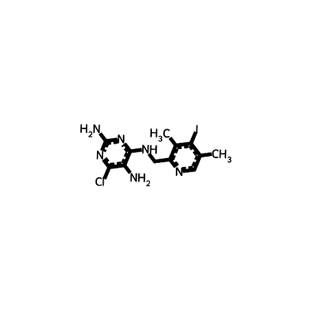 Cc1cnc(CNc2nc(N)nc(Cl)c2N)c(C)c1I